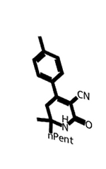 CCCCCC1(C)CC(c2ccc(C)cc2)=C(C#N)C(=O)N1